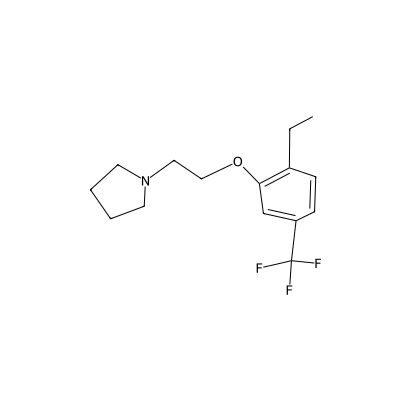 CCc1ccc(C(F)(F)F)cc1OCCN1CCCC1